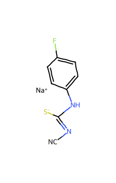 N#C/N=C(\[S-])Nc1ccc(F)cc1.[Na+]